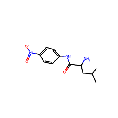 CC(C)CC(N)C(=O)Nc1ccc([N+](=O)[O-])cc1